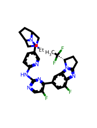 CCN1CC2CCC(C1)N2Cc1ccc(Nc2ncc(F)c(-c3cc(F)c4nc5n(c4c3)[C@H](C(C)(F)F)CC5)n2)nc1